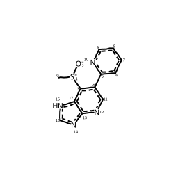 C[S+]([O-])c1c(-c2ccccn2)cnc2nc[nH]c12